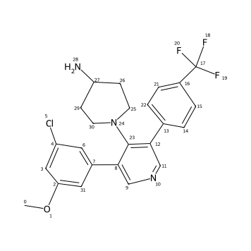 COc1cc(Cl)cc(-c2cncc(-c3ccc(C(F)(F)F)cc3)c2N2CCC(N)CC2)c1